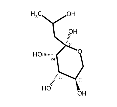 CC(O)C[C@@]1(O)OC[C@@H](O)[C@H](O)[C@@H]1O